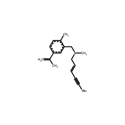 C=C(C)c1ccc(C)c(CN(C)CC=CC#CC(C)(C)C)c1